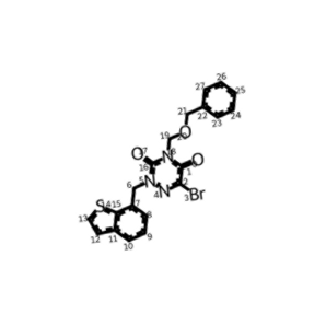 O=c1c(Br)nn(Cc2cccc3ccsc23)c(=O)n1COCc1ccccc1